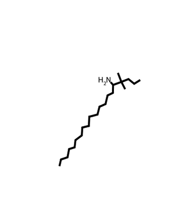 CCCCCCCCCCCCCCCC(N)C(C)(C)CCC